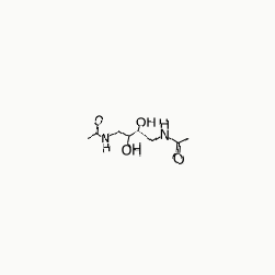 CC(=O)NCC(O)C(O)CNC(C)=O